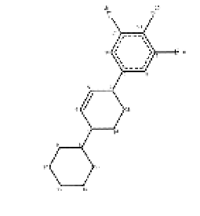 Fc1cc(C2C=CC(C3CCCCC3)CC2)cc(F)c1F